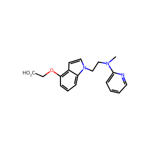 CN(CCn1ccc2c(OCC(=O)O)cccc21)c1ccccn1